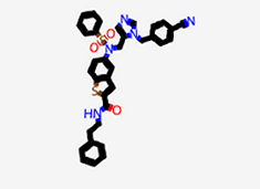 N#Cc1ccc(Cn2cncc2CN(c2ccc3sc(C(=O)NCCc4ccccc4)cc3c2)S(=O)(=O)c2ccccc2)cc1